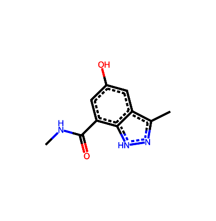 CNC(=O)c1cc(O)cc2c(C)n[nH]c12